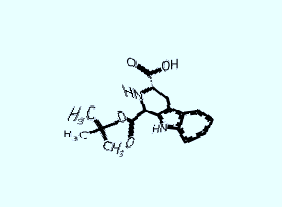 CC(C)(C)OC(=O)C1N[C@H](C(=O)O)Cc2c1[nH]c1ccccc21